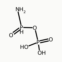 N[PH](=O)OP(=O)(O)O